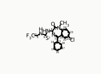 CN1C(=O)C(NC(=S)NCC(F)(F)F)N=C(c2ccccc2)c2cc(Cl)ccc21